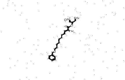 CC(=O)OCC(COC(C)=O)OC(=O)/C(C)=C/CCCCCCCCOCc1ccccc1